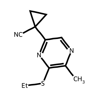 CCSc1nc(C2(C#N)CC2)cnc1C